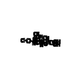 O=C(c1ncccc1-n1cnc(Cn2nc(-c3ccc(Cl)cc3)n(C[C@H](O)C(F)(F)F)c2=O)n1)N1CCS(O)(O)CC1